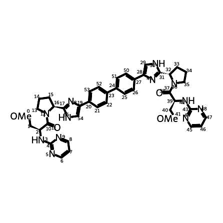 COC[C@H](Nc1ncccn1)C(=O)N1CCC[C@H]1c1nc(-c2ccc(-c3ccc(-c4c[nH]c([C@@H]5CCCN5C(=O)[C@H](COC)Nc5ncccn5)n4)cc3)cc2)c[nH]1